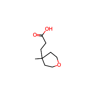 CC1(CCC(=O)O)CCOCC1